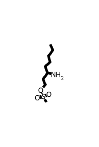 CCCCCC(N)CCOS(C)(=O)=O